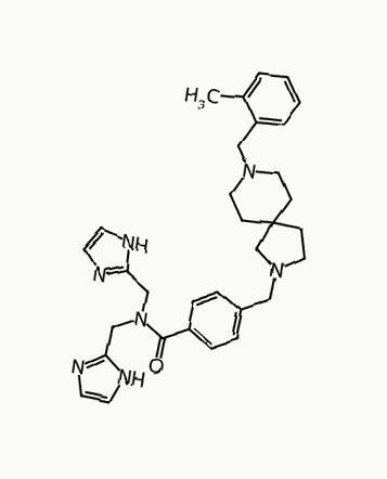 Cc1ccccc1CN1CCC2(CC1)CCN(Cc1ccc(C(=O)N(Cc3ncc[nH]3)Cc3ncc[nH]3)cc1)C2